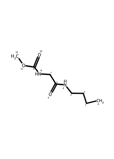 CCCCNC(=O)CNC(=O)OC